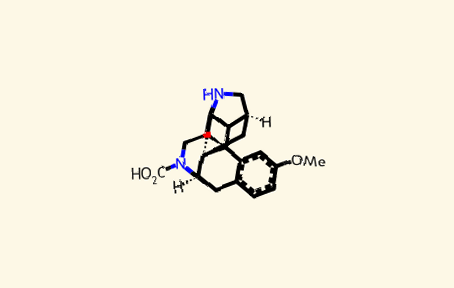 COc1ccc2c(c1)[C@]13CCN(C(=O)O)[C@H](C2)[C@]12CCC1NC[C@@H](C2)C13